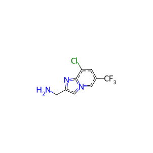 NCc1cn2cc(C(F)(F)F)cc(Cl)c2n1